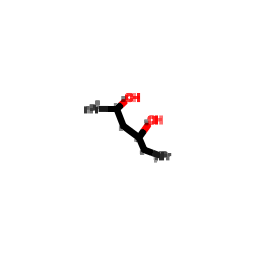 CCCC(O)CC(O)CC(C)C